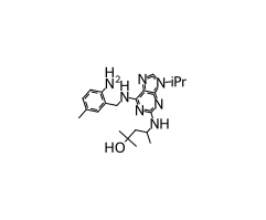 Cc1ccc(N)c(CNc2nc(NC(C)CC(C)(C)O)nc3c2ncn3C(C)C)c1